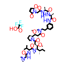 CC[C@H](C)[C@@H]([C@@H](CC(=O)N1CCC[C@H]1[C@H](OC)[C@@H](C)C(=O)N(C)CCc1cccc(NC(=O)[C@H](C)NC(=O)[C@H](C)NC(=O)CN2C(=O)C=CC2=O)c1)OC)N(C)C(=O)[C@@H](NC(=O)CN(C)C)C(C)C.O=C(O)C(F)(F)F